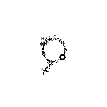 CC1(C)CNCCOCCOc2ccc(cc2)CNc2nc(nc(OCC(F)(F)F)n2)Nc2ccc(cc2)C(=O)NC1